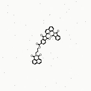 O=C(OCCCN1C(=O)c2cccc3cccc(c23)C1=O)c1ccc2c(c1)C(=O)C(c1ccc3cccc(N4C(=O)c5ccccc5C4=O)c3n1)C2=O